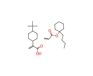 C=C(C(=O)O)C1CCC(C(C)(C)C)CC1.C=CC(=O)OC1(CCCC)CCCCC1